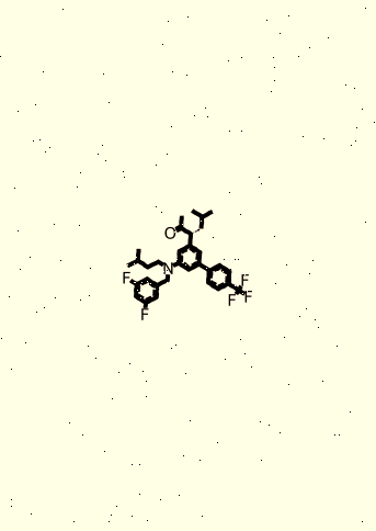 CC(=O)[C@H](CC(C)C)c1cc(-c2ccc(C(F)(F)F)cc2)cc(N(CCC(C)C)Cc2cc(F)cc(F)c2)c1